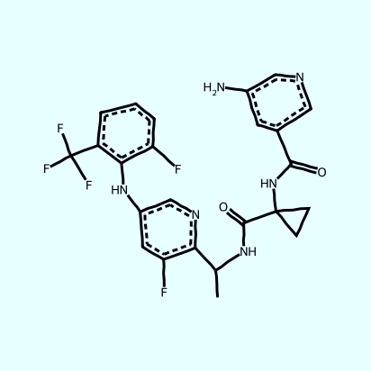 CC(NC(=O)C1(NC(=O)c2cncc(N)c2)CC1)c1ncc(Nc2c(F)cccc2C(F)(F)F)cc1F